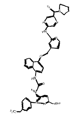 Cc1ccc(-n2nc(C(C)(C)C)cc2NC(=O)Nc2ccc(OCc3ccnc(Nc4cnc(C(=O)N5CCCC5)cn4)c3)c3ccccc23)cc1